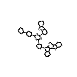 c1ccc(-c2ccc(-c3nc(-c4cccc(-n5c6ccccc6c6c7sc8ccccc8c7ccc65)c4)nc(-c4cccc5c4oc4ccccc45)n3)cc2)cc1